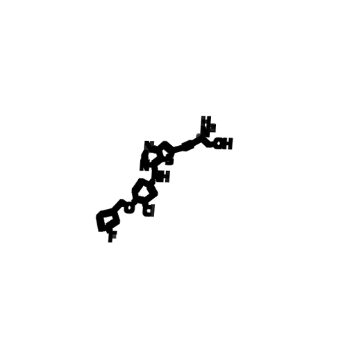 N[C@H](C#Cc1cc2ncnc(Nc3ccc(OCc4cccc(F)c4)c(Cl)c3)c2s1)CO